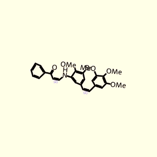 COc1cc(/C=C\c2cc(Br)c(OC)c(N/C=C\C(=O)c3ccccc3)c2)cc(OC)c1OC